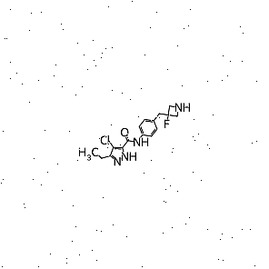 CCc1n[nH]c(C(=O)Nc2ccc(CC3(F)CNC3)cc2)c1Cl